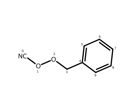 N#COOCc1ccccc1